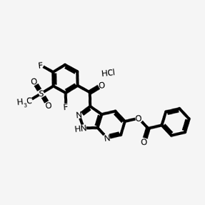 CS(=O)(=O)c1c(F)ccc(C(=O)c2n[nH]c3ncc(OC(=O)c4ccccc4)cc23)c1F.Cl